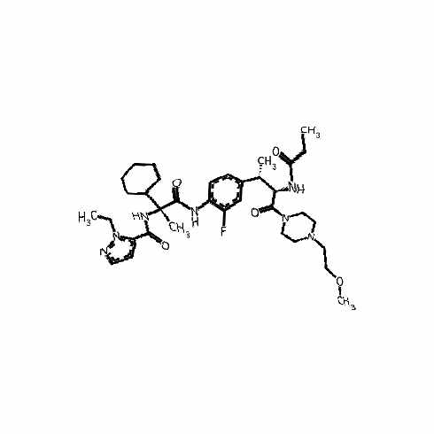 CCC(=O)N[C@@H](C(=O)N1CCN(CCOC)CC1)[C@@H](C)c1ccc(NC(=O)[C@](C)(NC(=O)c2ccnn2CC)C2CCCCC2)c(F)c1